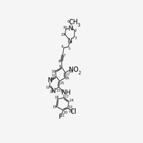 CN1CCN(CCC#Cc2cc3ncnc(Nc4ccc(F)c(Cl)c4)c3cc2[N+](=O)[O-])CC1